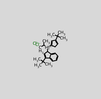 C[CH](C)[Hf+2]([C]1=CC(C(C)(C)C)=CC1)[CH]1C=C(C(C)(C)C)c2ccccc21.[Cl-].[Cl-]